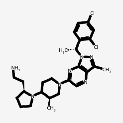 Cc1nn([C@H](C)c2ccc(Cl)cc2Cl)c2nc(N3CCC(N4CCC[C@H]4CCN)[C@H](C)C3)cnc12